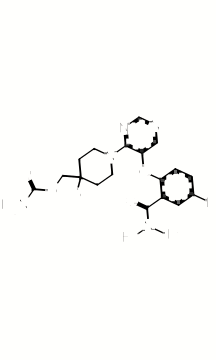 CCN(C(=O)c1cc(F)ccc1Oc1cncnc1N1CCC(O)(COC(N)=O)CC1)C(C)C